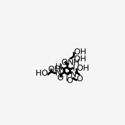 O=C(NCC(O)CO)c1c(I)c(C(=O)NCC(O)CO)c(I)c(N2C(=O)COCC2CO)c1I